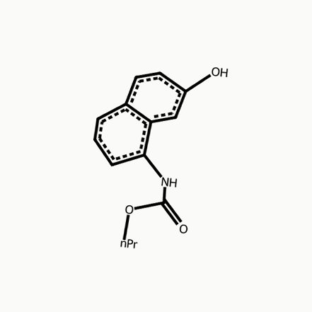 CCCOC(=O)Nc1cccc2ccc(O)cc12